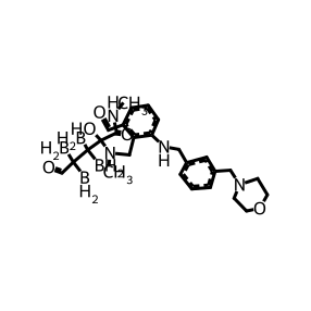 BC(B)(C=O)C(B)(B)C(O)(C(=O)NC)N(C)Cc1c(C=O)cccc1NCc1cccc(CN2CCOCC2)c1